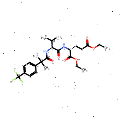 CCOC(=O)CC[C@@H](NC(=O)[C@@H](NC(=O)C(C)(C)c1ccc(C(F)(F)F)cc1)C(C)C)C(=O)OCC